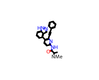 CNC(C)C(=O)Nc1ccc(-c2cccc3[nH]ncc23)c(C#Cc2ccccc2)n1